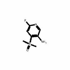 CP(C)(=O)c1cc(F)ncc1N